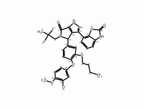 CC(F)(F)CN1C(=O)c2[nH]nc(-c3cccc4[nH]c(=O)oc34)c2C1c1ccc(Oc2ccc(OC(F)(F)F)c(Cl)c2)c(OCCCC(F)(F)F)c1